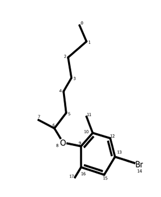 CCCCCCC(C)Oc1c(C)cc(Br)cc1C